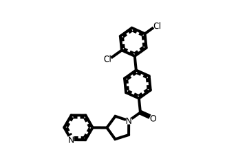 O=C(c1ccc(-c2cc(Cl)ccc2Cl)cc1)N1CCC(c2cccnc2)C1